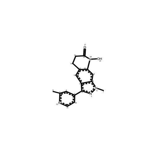 Cc1cc(-c2nn(C)c3cc4c(cc23)CCC(=O)N4O)ccn1